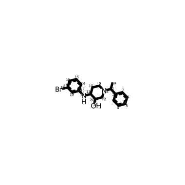 CC(c1ccccc1)N1CCC(Nc2cccc(Br)c2)C(O)C1